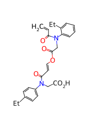 C=CC(=O)N(CC(=O)O/C=C/C(=O)N(CC(=O)O)c1ccc(CC)cc1)c1ccccc1CC